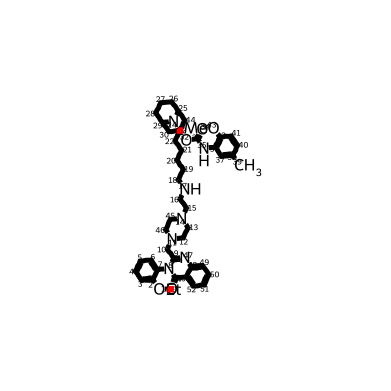 CCOc1ccccc1-n1c(CN2CCN(CCNCCCCCCN3C4CCCC3CC(OC(=O)Nc3cc(C)ccc3OC)C4)CC2)nc2ccccc2c1=O